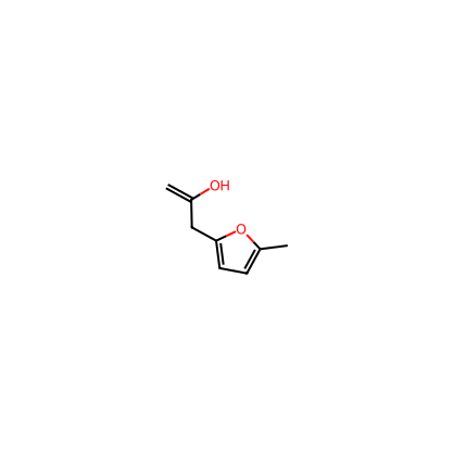 C=C(O)Cc1ccc(C)o1